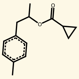 Cc1ccc(CC(C)OC(=O)C2CC2)cc1